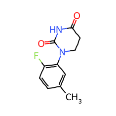 Cc1ccc(F)c(N2CCC(=O)NC2=O)c1